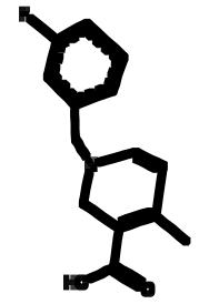 CC1=C(C(=O)O)CN(Cc2cccc(F)c2)C=C1